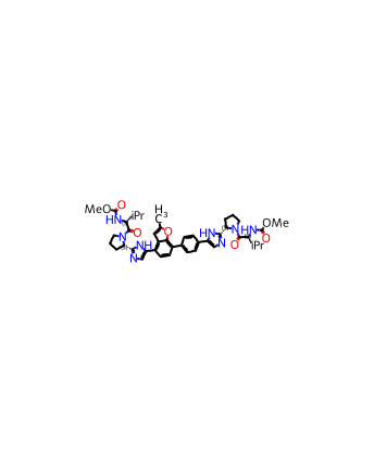 COC(=O)N[C@H](C(=O)N1CCC[C@H]1c1ncc(-c2ccc(-c3ccc(-c4cnc([C@@H]5CCCN5C(=O)[C@@H](NC(=O)OC)C(C)C)[nH]4)c4cc(C)oc34)cc2)[nH]1)C(C)C